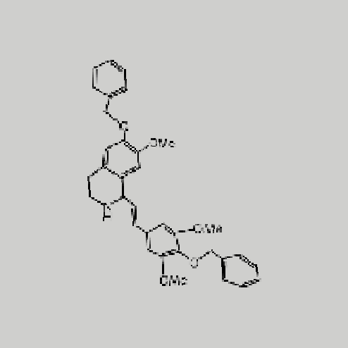 COc1cc2c(cc1OCc1ccccc1)CCNC2C=Cc1cc(OC)c(OCc2ccccc2)c(OC)c1